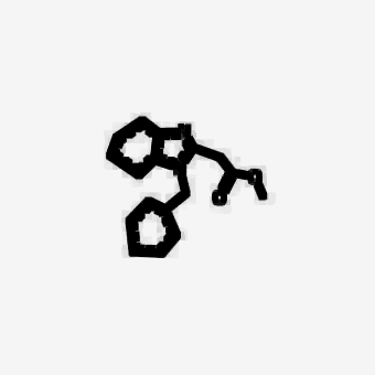 COC(=O)Cc1nc2ccccc2n1Cc1ccccc1